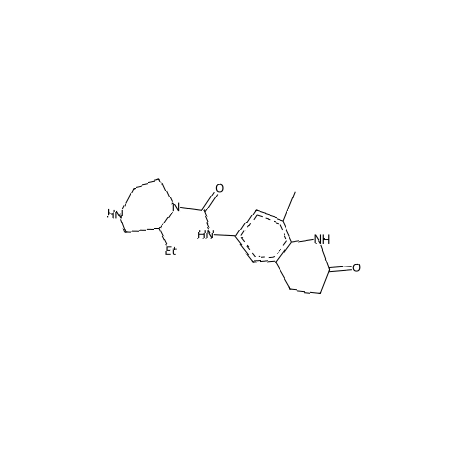 CCC1CNCCN1C(=O)Nc1cc(C)c2c(c1)CCC(=O)N2